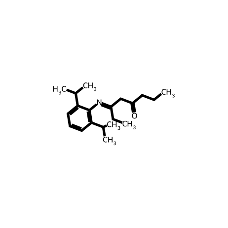 CCCC(=O)CC(CC)=Nc1c(C(C)C)cccc1C(C)C